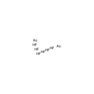 F.F.F.F.F.F.[As].[As]